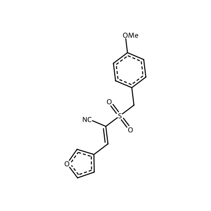 COc1ccc(CS(=O)(=O)C(C#N)=Cc2ccoc2)cc1